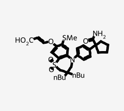 CCCCC1(CCCC)CN(c2ccc(C3(C(N)=O)CCCC3)cc2)c2cc(SC)c(O/C=C/C(=O)O)cc2S(=O)(=O)C1